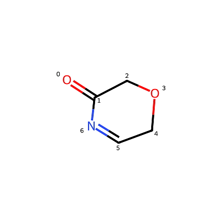 O=C1COCC=N1